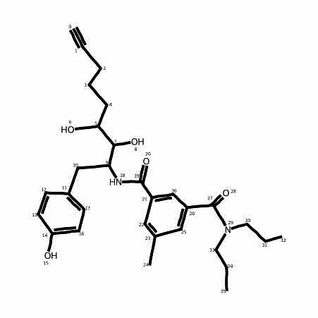 C#CCCCC(O)C(O)C(Cc1ccc(O)cc1)NC(=O)c1cc(C)cc(C(=O)N(CCC)CCC)c1